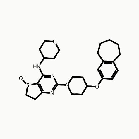 [O-][S+]1CCc2nc(N3CCC(Oc4ccc5c(c4)CCCCC5)CC3)nc(NC3CCOCC3)c21